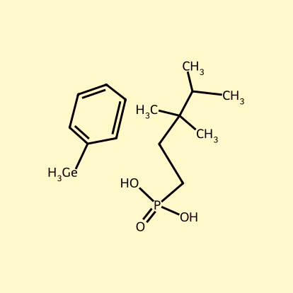 CC(C)C(C)(C)CCP(=O)(O)O.[GeH3][c]1ccccc1